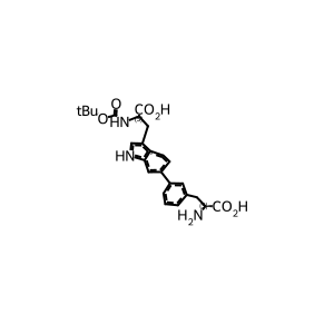 CC(C)(C)OC(=O)N[C@@H](Cc1c[nH]c2cc(-c3cccc(C[C@H](N)C(=O)O)c3)ccc12)C(=O)O